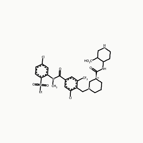 CCS(=O)(=O)c1ccc(Cl)cc1N(C)C(=O)c1cc(Cl)c(CN2CCC[C@H](C(=O)NC3CCNCC3C(=O)O)C2)c(C(F)(F)F)c1